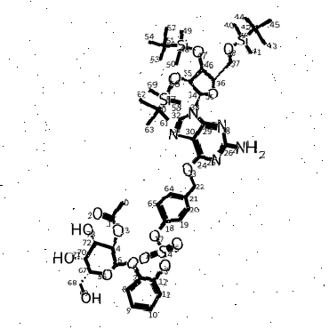 CC(=O)O[C@H]1C(Oc2ccccc2OS(=O)(=O)Oc2ccc(COc3nc(N)nc4c3ncn4[C@@H]3O[C@H](CO[Si](C)(C)C(C)(C)C)C(O[Si](C)(C)C(C)(C)C)[C@@H]3O[Si](C)(C)C(C)(C)C)cc2)O[C@H](CO)[C@H](O)[C@@H]1O